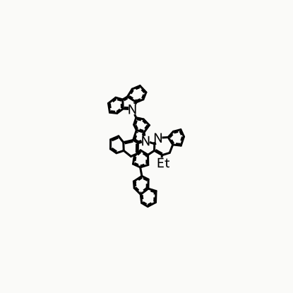 CCC1=C(c2cccc(-c3ccc4ccccc4c3)c2)C(n2c3c(c4cc(-n5c6ccccc6c6ccccc65)ccc42)=C2C=CC=CC2CC=3)=Nc2ccccc2C1